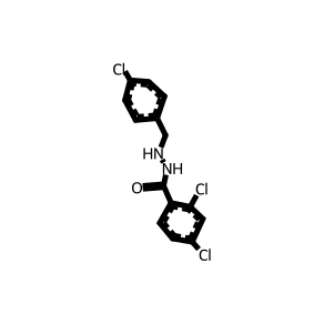 O=C(NNCc1ccc(Cl)cc1)c1ccc(Cl)cc1Cl